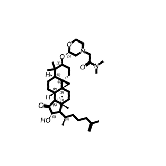 C=C(C)CCC[C@@H](C)C1[C@H](O)C(=O)[C@@]2(C)[C@@H]3CC[C@H]4C(C)(C)[C@@H](O[C@H]5CN(CC(=O)N(C)C)CCO5)CC[C@@]45C[C@@]35CC[C@]12C